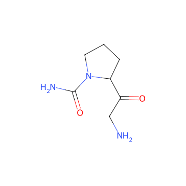 NCC(=O)C1CCCN1C(N)=O